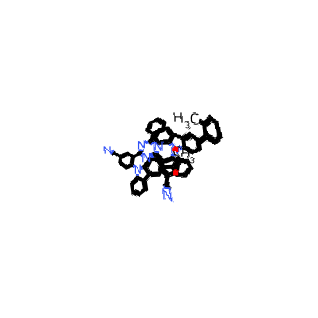 Cc1ccccc1-c1ccc2c(c1)c1ccccc1n2-c1ccc(C#N)cc1-c1nc(-c2ccccc2)nc(-c2cc(C#N)ccc2-n2c3ccccc3c3cc(-c4ccccc4C)ccc32)n1